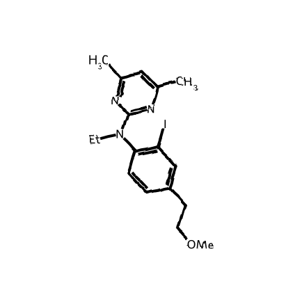 CCN(c1nc(C)cc(C)n1)c1ccc(CCOC)cc1I